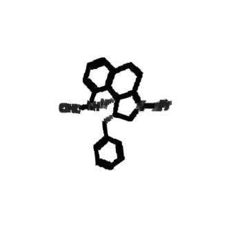 CCCN1C[C@H](Cc2ccccc2)[C@H]2c3c(cccc3NC=O)CCC21